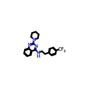 FC(F)(F)c1ccc(CCNc2nc(N3CCCCC3)nc3ccccc23)cc1